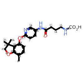 Cc1ccc(Oc2ccc(NC(=O)CCCNC(=O)O)cn2)c2c1OCC2(C)C